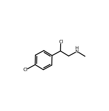 CNCC(Cl)c1ccc(Cl)cc1